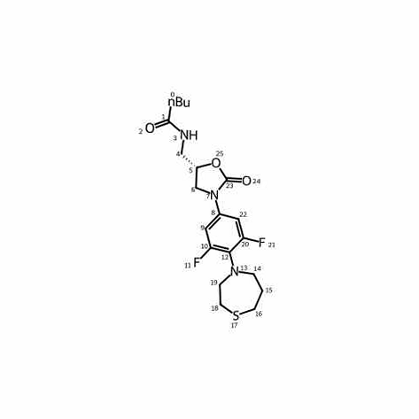 CCCCC(=O)NC[C@H]1CN(c2cc(F)c(N3CCCSCC3)c(F)c2)C(=O)O1